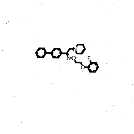 Fc1[c]cccc1OCCON=C(CN1CC=CCC1)c1ccc(-c2ccccc2)cc1